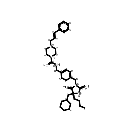 CCCCC1(CC2CCCCC2)NC(=N)N(CC2=CC=C(CNC(=O)N3CCN(C/C=C/c4ccccc4)CC3)CC2)C1=O